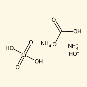 O=C([O-])O.[NH4+].[NH4+].[OH-].[O]=[Cr](=[O])([OH])[OH]